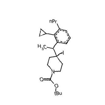 CCCc1cccc(C(C)C2(I)CCN(C(=O)OC(C)(C)C)CC2)c1C1CC1